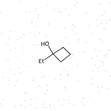 CCC1(O)C[CH]C1